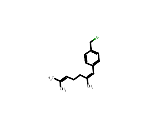 CC(C)=CCCC(C)=Cc1ccc(CBr)cc1